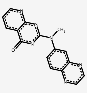 CN(c1ccc2nccnc2c1)c1nc(=O)c2cccnc2s1